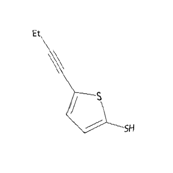 CCC#Cc1ccc(S)s1